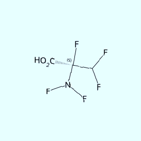 O=C(O)[C@](F)(C(F)F)N(F)F